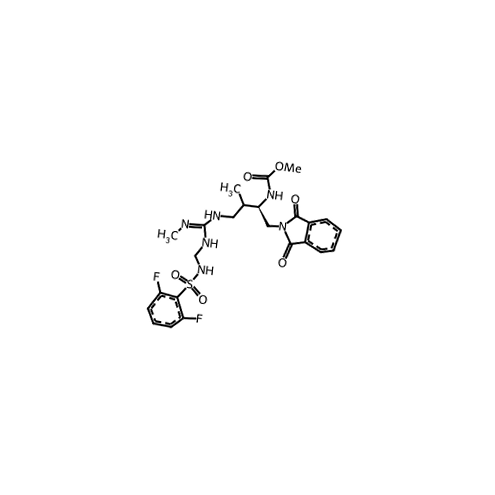 C/N=C(\NCNS(=O)(=O)c1c(F)cccc1F)NCC(C)[C@H](CN1C(=O)c2ccccc2C1=O)NC(=O)OC